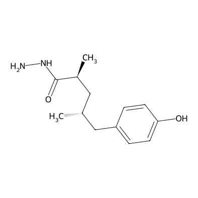 C[C@@H](Cc1ccc(O)cc1)C[C@H](C)C(=O)NN